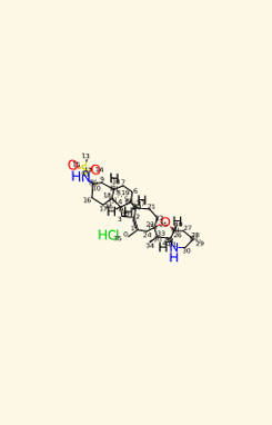 CC1=C2C[C@H]3[C@@H](CC[C@@H]4C[C@H](NS(C)(=O)=O)CC[C@@]43C)[C@@H]2CC[C@@]2(C1)O[C@@H]1C[C@H](C)CN[C@H]1[C@H]2C.Cl